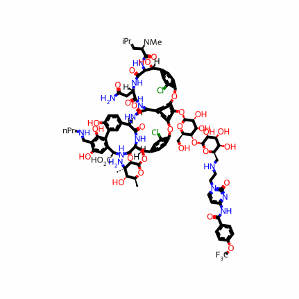 CCCNCc1c(O)cc2c(c1O)-c1cc(ccc1O)[C@H]1NC(=O)[C@@H]3NC(=O)[C@H](CC(N)=O)NC(=O)C(NC(=O)[C@@H](CC(C)C)NC)[C@H](O)c4ccc(c(Cl)c4)Oc4cc3cc(c4O[C@@H]3O[C@H](CO)[C@@H](O[C@@H]4O[C@H](CNCCn5ccc(NC(=O)c6ccc(OC(F)(F)F)cc6)nc5=O)[C@H](O)[C@H](O)[C@H]4O)[C@H](O)[C@H]3O)Oc3ccc(cc3Cl)[C@@H](OC3C[C@](C)(N)[C@@H](O)[C@H](C)O3)[C@H](NC1=O)C(=O)N[C@H]2C(=O)O